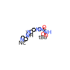 C[C@@H]1CN(c2ccc(C#N)c3ncccc23)C[C@@H]2Cc3cc(N4CCN(C(=O)C(C)(C)NC(=O)OC(C)(C)C)CC4)ccc3CN21